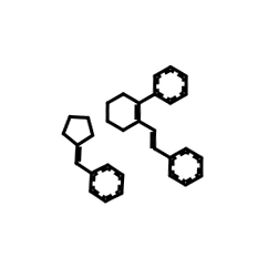 C(=C1CCCC1)c1ccccc1.C(=Cc1ccccc1)C1=C(c2ccccc2)CCCC1